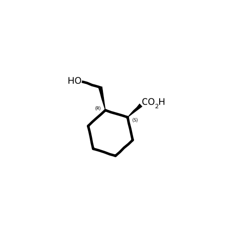 O=C(O)[C@H]1CCCC[C@H]1CO